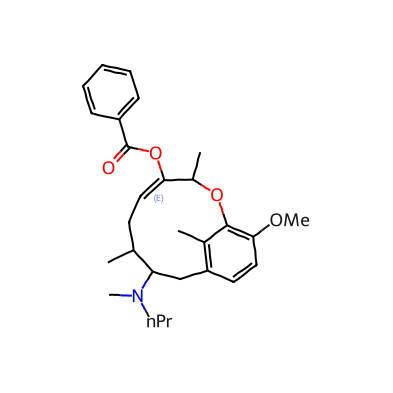 CCCN(C)C1Cc2ccc(OC)c(c2C)OC(C)/C(OC(=O)c2ccccc2)=C\CC1C